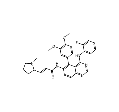 COc1ccc(-c2c(NC(=O)/C=C/C3CCCN3C)ccc3ncnc(Nc4ccccc4F)c23)cc1OC